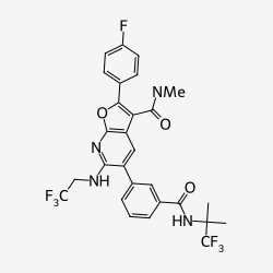 CNC(=O)c1c(-c2ccc(F)cc2)oc2nc(NCC(F)(F)F)c(-c3cccc(C(=O)NC(C)(C)C(F)(F)F)c3)cc12